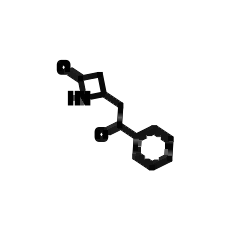 O=C1CC(CC(=O)c2ccccc2)N1